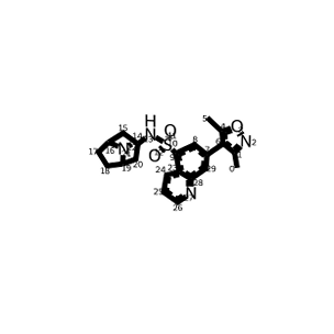 Cc1noc(C)c1-c1cc(S(=O)(=O)NC2CC3CCC(C2)N3C)c2cccnc2c1